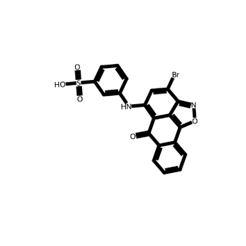 O=C1c2ccccc2-c2onc3c(Br)cc(Nc4cccc(S(=O)(=O)O)c4)c1c23